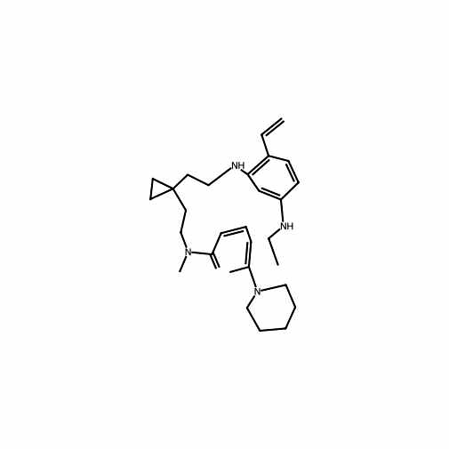 C=Cc1ccc(NCC)cc1NCCC1(CCN(C)C(=C)/C=C\C=C(/C)N2CCCCC2)CC1